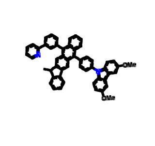 COc1ccc2c(c1)c1cc(OC)ccc1n2-c1ccc(-c2c3ccccc3c(-c3cccc(-c4ccccn4)c3)c3cc4c(cc23)-c2ccccc2C4C)cc1